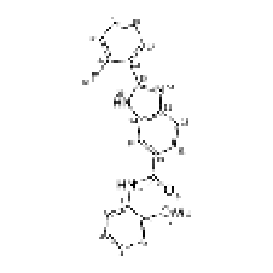 COc1ccccc1NC(=O)c1ccc2nc(-c3ccccc3F)[nH]c2c1